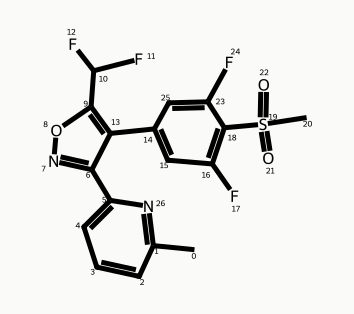 Cc1cccc(-c2noc(C(F)F)c2-c2cc(F)c(S(C)(=O)=O)c(F)c2)n1